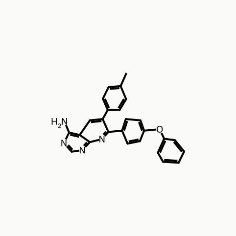 Cc1ccc(-c2cc3c(N)ncnc3nc2-c2ccc(Oc3ccccc3)cc2)cc1